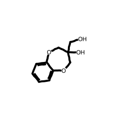 OCC1(O)COc2ccccc2OC1